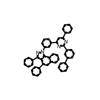 c1ccc(-c2cccc(-c3nc(-c4ccccc4)cc(-c4cccc(-n5nc(-c6ccccc6)c6c(-c7ccccc7)cc7ccccc7c65)c4)n3)c2)cc1